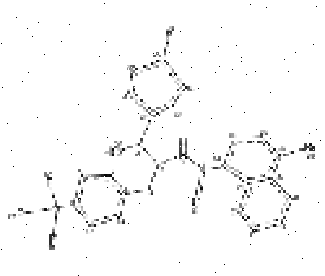 O=C(NC(Cc1ccc(C(F)(F)F)cc1)C(O)c1ccc(F)cc1)c1ccc(Br)c2ccccc12